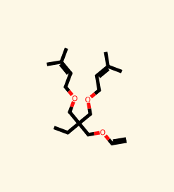 C=COCC(CC)(COCC=C(C)C)COCC=C(C)C